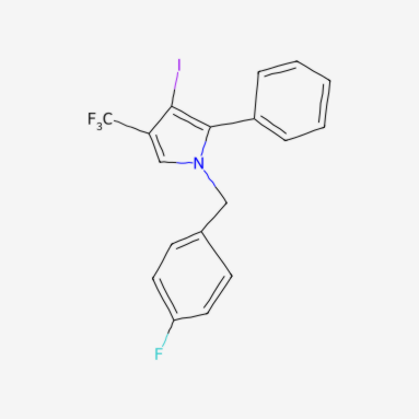 Fc1ccc(Cn2cc(C(F)(F)F)c(I)c2-c2ccccc2)cc1